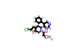 C=CC(=O)N1Cc2sc(Cl)cc2[C@H](c2ccccc2-c2cncnc2)C1